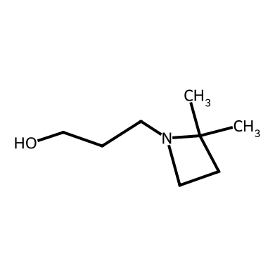 CC1(C)CCN1CCCO